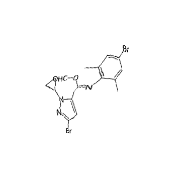 Cc1cc(Br)cc(C)c1/N=C(\OC=O)c1cc(Br)nn1C1CC1